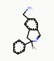 NCc1ccc2c(c1)CC(c1ccccc1)(C(F)(F)F)N=C2